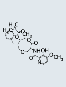 COc1ccnc(C(=O)N[C@H]2COC[C@H](Cc3ccccc3)[C@@H](OC(=O)C(C)C)[C@H](C)OC2=O)c1O